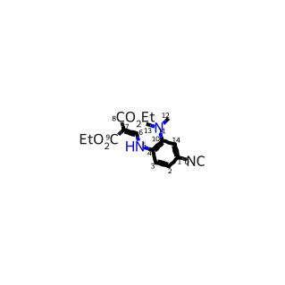 [C-]#[N+]c1ccc(NC=C(C(=O)OCC)C(=O)OCC)c(N(C)C)c1